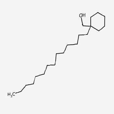 CCCCCCCCCCCCCCC1(CO)CCCCC1